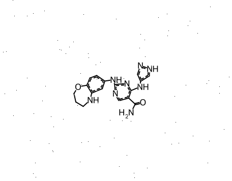 NC(=O)c1cnc(Nc2ccc3c(c2)NCCCO3)nc1Nc1cn[nH]c1